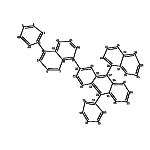 c1ccc(-c2cccc3c(-c4ccc5c(-c6ccccc6)c6ccccc6c(-c6cccc7ccccc67)c5c4)cccc23)cc1